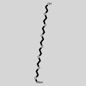 CCCCCCCCCOCCOCCOCCOCCOCCOCCOCCO